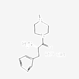 CN1CCN(C(=O)[C@@H](N)Cc2ccccc2)CC1.Cl.Cl